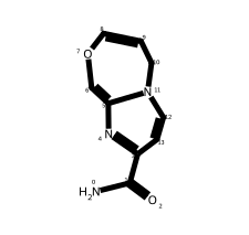 NC(=O)C1=NC2=COC=CCN2C=C1